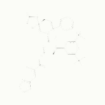 C[C@@H](OC[C@@]1(c2ccccc2)CC[C@]2(CCC(=O)N2)CN1C(=O)OCOC(=O)C(N)Cc1c[nH]cn1)c1cc(C(F)(F)F)cc(C(F)(F)F)c1